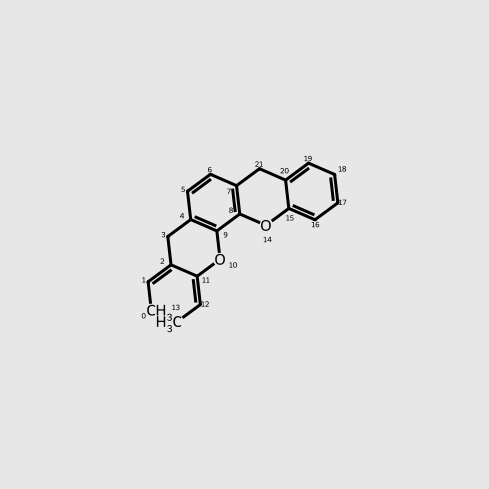 C/C=C1/Cc2ccc3c(c2O/C1=C/C)Oc1ccccc1C3